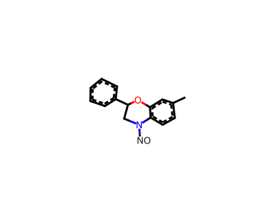 Cc1ccc2c(c1)OC(c1ccccc1)CN2N=O